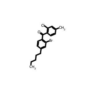 CCCCCc1ccc(C(=O)c2ccc(C)cc2Cl)c(Br)c1